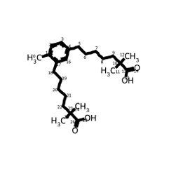 Cc1ccc(CCCCCC(C)(C)C(=O)O)cc1CCCCCC(C)(C)C(=O)O